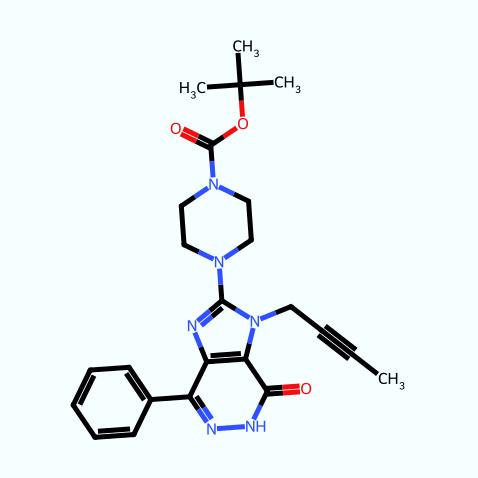 CC#CCn1c(N2CCN(C(=O)OC(C)(C)C)CC2)nc2c(-c3ccccc3)n[nH]c(=O)c21